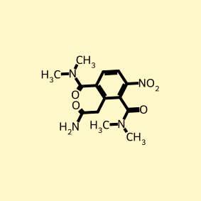 CN(C)C(=O)c1ccc([N+](=O)[O-])c(C(=O)N(C)C)c1CC(N)=O